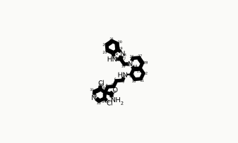 NC(=O)C1(CCCCN[C@@H]2CCCC3=C2N(Cc2nc4ccccc4[nH]2)CC=C3)C(Cl)=CN=CC1Cl